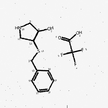 O=C(O)C(F)(F)F.OC1CNCC1SCc1ccccc1